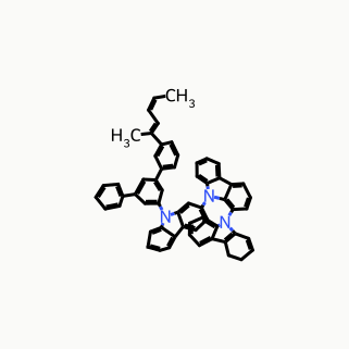 C/C=C\C=C(/C)c1cccc(-c2cc(-c3ccccc3)cc(-n3c4ccccc4c4ccc(-n5c6ccccc6c6cccc(-n7c8c(c9ccccc97)CCC=C8)c65)cc43)c2)c1